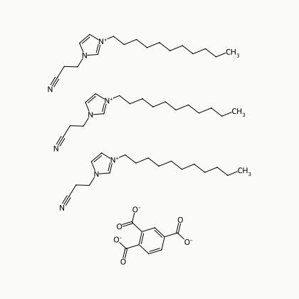 CCCCCCCCCCC[n+]1ccn(CCC#N)c1.CCCCCCCCCCC[n+]1ccn(CCC#N)c1.CCCCCCCCCCC[n+]1ccn(CCC#N)c1.O=C([O-])c1ccc(C(=O)[O-])c(C(=O)[O-])c1